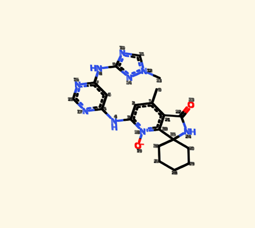 Cc1cc(Nc2cc(Nc3ncn(C)n3)ncn2)[n+]([O-])c2c1C(=O)NC21CCCCC1